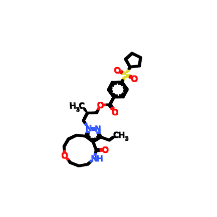 CCc1nn(C[C@@H](C)COC(=O)c2ccc(S(=O)(=O)C3CCCC3)cc2)c2c1C(=O)NCCCOCCC2